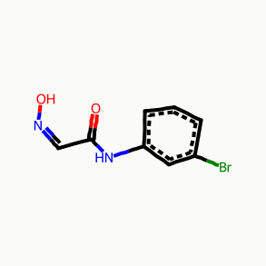 O=C(/C=N\O)Nc1cccc(Br)c1